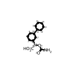 NC(=O)ON(C(=O)O)c1cccc(-c2ccccc2)c1